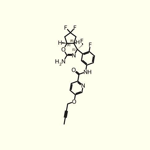 CC#CCOc1ccc(C(=O)Nc2ccc(F)c([C@@]3(CF)N=C(N)O[C@@H]4CC(F)(F)C[C@@H]43)c2)nc1